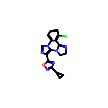 Clc1cccc2c1C1=NCCN1c1c(-c3nc(C4CC4)no3)ncn1-2